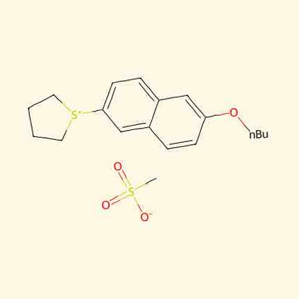 CCCCOc1ccc2cc([S+]3CCCC3)ccc2c1.CS(=O)(=O)[O-]